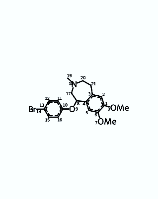 COc1cc2c(cc1OC)C(Oc1ccc(Br)cc1)CN(C)CC2